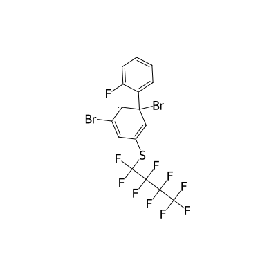 Fc1ccccc1C1(Br)[CH]C(Br)=CC(SC(F)(F)C(F)(F)C(F)(F)C(F)(F)F)=C1